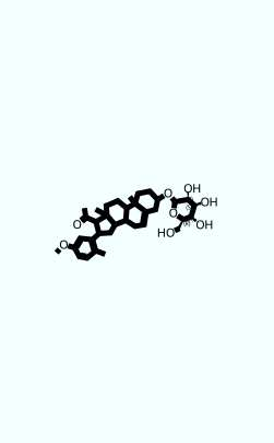 COc1ccc(C)c(C2CC3C4CC=C5CC(OC6O[C@H](CO)[C@H](O)[C@H](O)[C@H]6O)CCC5(C)C4CCC3(C)C2C(C)=O)c1